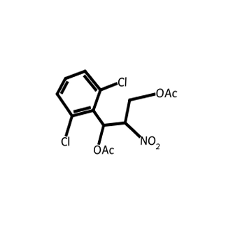 CC(=O)OCC(C(OC(C)=O)c1c(Cl)cccc1Cl)[N+](=O)[O-]